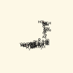 CC(=O)CCCCn1c(=O)c2c(ncn2C)n(C)c1=O.CC(C)(C)N.CC(C)(N)Cc1ccccc1.CC(COc1ccccc1)N(CCCl)Cc1ccccc1.CC1C(c2ccccc2)OCCN1C.CCC[C@H](N[C@@H](C)C(=O)N1[C@H](C(=O)O)C[C@@H]2CCCC[C@@H]21)C(=O)OCC.CNC[C@H](O)c1cccc(O)c1.Cl.Cl.Cl.NNCCc1ccccc1.O=C([O-])C(O)C(O)C(=O)O.O=S(=O)(O)O.[Na+]